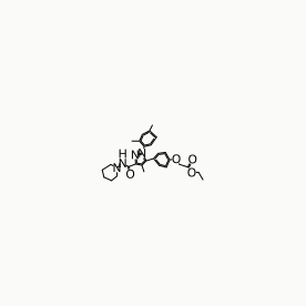 CCOC(=O)COc1ccc(-c2c(C)c(C(=O)NN3CCCCC3)nn2-c2ccc(C)cc2C)cc1